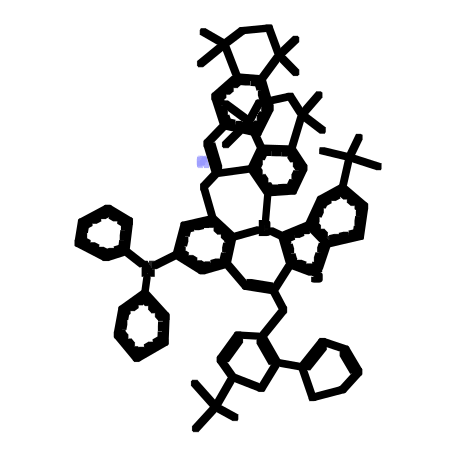 CC(C)(C)c1ccc2sc3c(c2c1)B1c2ccc4c(c2/C(=C\c2ccc5c(c2)C(C)(C)CCC5(C)C)Cc2cc(N(c5ccccc5)c5ccccc5)cc(c21)C=C3CC1=C(C2=CC=CCC2)CC(C(C)(C)C)C=C1)C(C)(C)CCC4(C)C